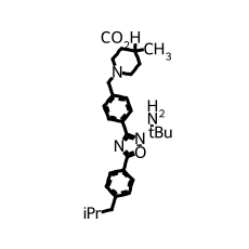 CC(C)(C)N.CC(C)Cc1ccc(-c2nc(-c3ccc(CN4CCC(C)(C(=O)O)CC4)cc3)no2)cc1